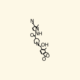 Cc1nc(NC(=O)C2CCN(CC(O)c3ccc4c(c3C)COC4=O)CC2)ccc1C#N